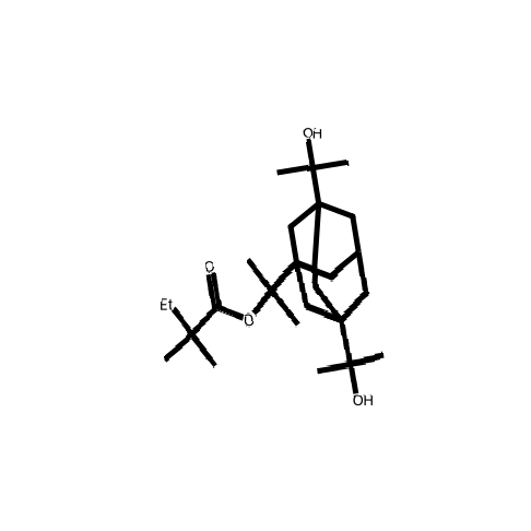 CCC(C)(C)C(=O)OC(C)(C)C12CC3CC(C(C)(C)O)(CC(C(C)(C)O)(C3)C1)C2